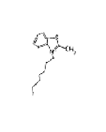 Cc1sc2ccccc2[n+]1CCCCCCI